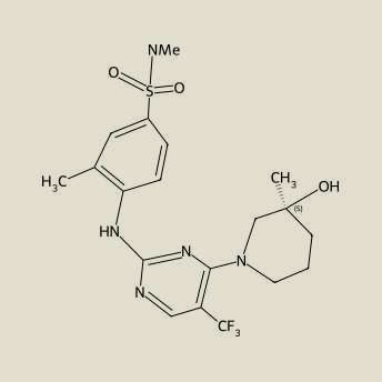 CNS(=O)(=O)c1ccc(Nc2ncc(C(F)(F)F)c(N3CCC[C@](C)(O)C3)n2)c(C)c1